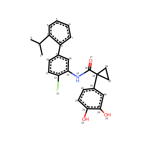 CC(C)c1ccccc1-c1ccc(F)c(NC(=O)C2(c3ccc(O)c(O)c3)CC2)c1